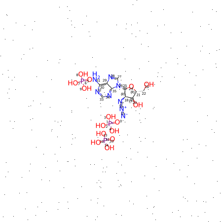 O=P(O)(O)O.O=P(O)(O)O.O=P(O)(O)O.[N-]=[N+]=N[C@@H]1[C@H](O)[C@@H](CO)O[C@H]1n1cnc2c(N)ncnc21